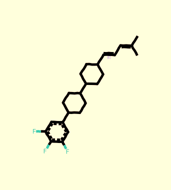 CC(C)=C/C=C/C1CCC(C2CCC(c3cc(F)c(F)c(F)c3)CC2)CC1